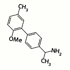 COc1ccc(C)cc1-c1ccc(C(C)N)cc1